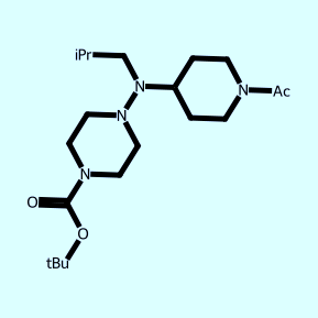 CC(=O)N1CCC(N(CC(C)C)N2CCN(C(=O)OC(C)(C)C)CC2)CC1